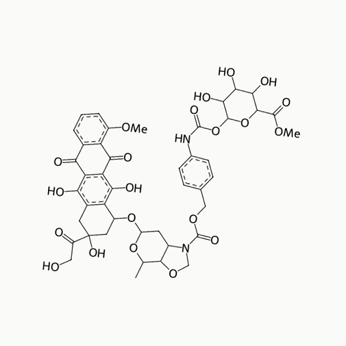 COC(=O)C1OC(OC(=O)Nc2ccc(COC(=O)N3COC4C(C)OC(OC5CC(O)(C(=O)CO)Cc6c(O)c7c(c(O)c65)C(=O)c5c(OC)cccc5C7=O)CC43)cc2)C(O)C(O)C1O